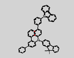 CC1(C)c2ccccc2-c2ccc(N(c3ccc(-c4cccc(-n5c6ccccc6c6ccccc65)c4)cc3)c3ccc(-c4ccccc4)cc3-c3ccccc3)cc21